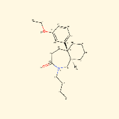 CCCCN1C[C@@H]2CCCC[C@@]2(c2cccc(OCC)c2)CCC1=O